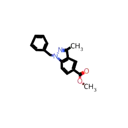 COC(=O)c1ccc2c(c1)c(C)nn2Cc1ccccc1